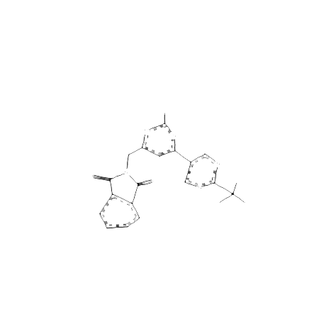 O=C1c2ccccc2C(=O)N1Cc1cc(-c2cnc(C(F)(F)F)nc2)nc(Cl)n1